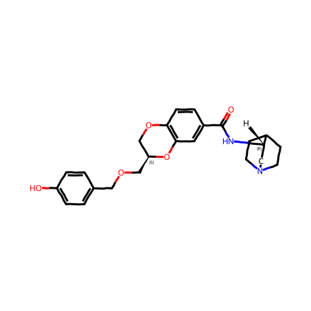 O=C(N[C@H]1CN2CCC1CC2)c1ccc2c(c1)O[C@@H](COCc1ccc(O)cc1)CO2